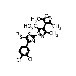 Cc1noc(C)c1-c1c(C)nn(-c2nc(-c3ccc(Cl)c(Cl)c3)c(SC(C)C)s2)c1C(=O)O